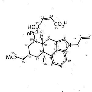 C=CCn1cc2c3c(cccc31)[C@H]1C[C@@H](CSC)CN(CCC)[C@@H]1C2.O=C(O)/C=C\C(=O)O